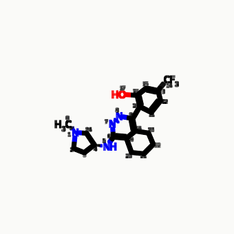 CN1CC[C@@H](Nc2nnc(-c3ccc(C(F)(F)F)cc3O)c3c2CCCC3)C1